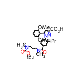 COc1cccc(OC)c1-c1cc(C(=O)O)nn1-c1ccc(C(=O)N(C)CCCN(C)C(=O)OC(C)(C)C)cc1C(C)C